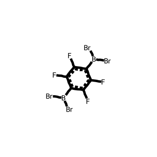 Fc1c(F)c(B(Br)Br)c(F)c(F)c1B(Br)Br